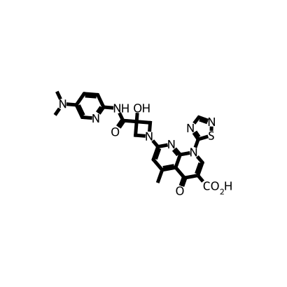 Cc1cc(N2CC(O)(C(=O)Nc3ccc(N(C)C)cn3)C2)nc2c1c(=O)c(C(=O)O)cn2-c1ncns1